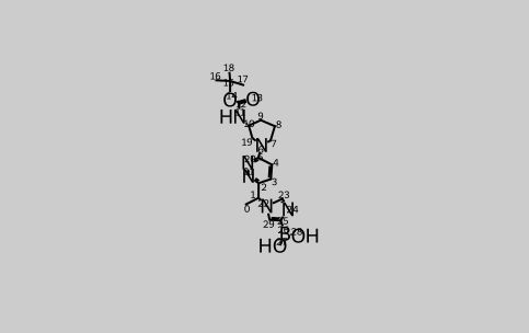 CC(c1ccc(N2CCC[C@@H](NC(=O)OC(C)(C)C)C2)nn1)n1cnc(B(O)O)c1